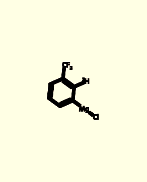 [2H]c1[c]([Mg][Cl])cccc1C(F)(F)F